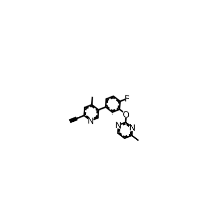 C#Cc1cc(C)c(-c2[c]c(Oc3nccc(C)n3)c(F)cc2)cn1